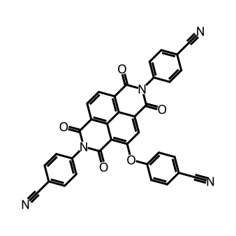 N#Cc1ccc(Oc2cc3c4c(ccc5c4c2C(=O)N(c2ccc(C#N)cc2)C5=O)C(=O)N(c2ccc(C#N)cc2)C3=O)cc1